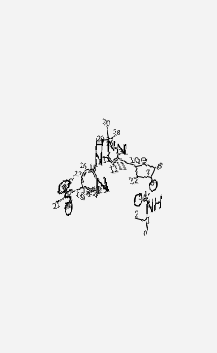 CC(C)NC(=O)OC1CCC(c2cc(Nc3ccc(CS(C)(=O)=O)cn3)n(C(C)(C)C)n2)C1